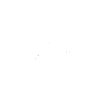 CCc1sc(C(C)C(=O)C(C)c2cc(-c3ccccc3)c(CC)s2)cc1-c1ccccc1